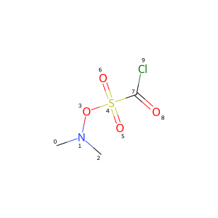 CN(C)OS(=O)(=O)C(=O)Cl